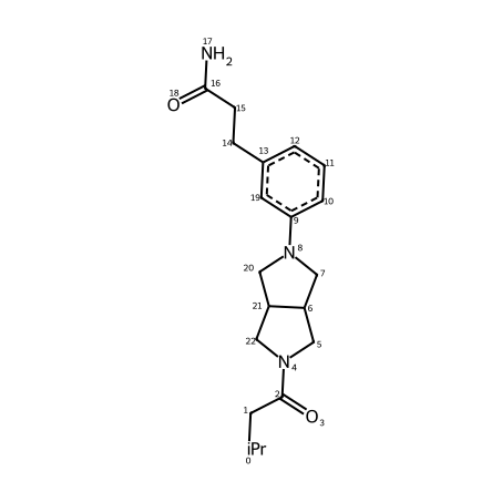 CC(C)CC(=O)N1CC2CN(c3cccc(CCC(N)=O)c3)CC2C1